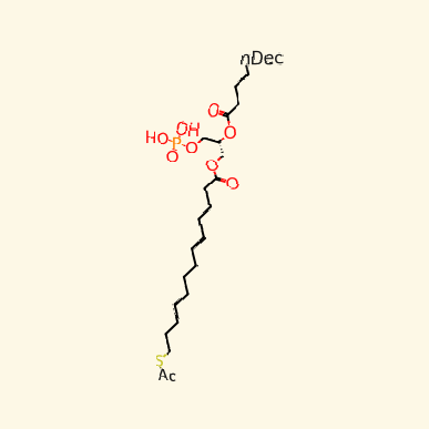 CCCCCCCCCCCCCC(=O)O[C@H](COC(=O)CCCCCCCCCCCCSC(C)=O)COP(=O)(O)O